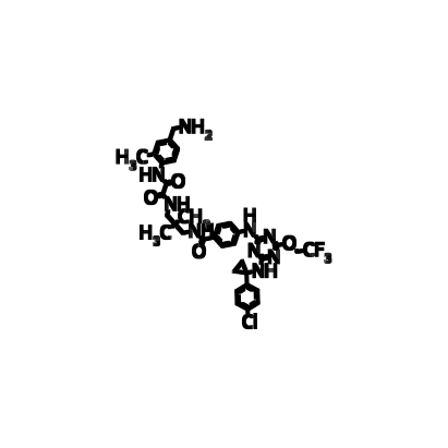 Cc1cc(CN)ccc1NC(=O)C(=O)NCC(C)(C)CNC(=O)c1ccc(Nc2nc(NC3(c4ccc(Cl)cc4)CC3)nc(OCC(F)(F)F)n2)cc1